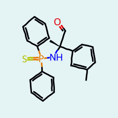 Cc1cccc([C@@](C)(C=O)NP(=S)(c2ccccc2)c2ccccc2)c1